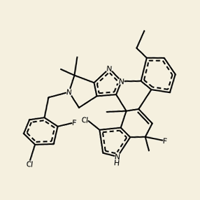 CCc1cccc2c1-n1nc3c(c1C1(C)C2=CC(C)(F)c2[nH]cc(Cl)c21)CN(Cc1ccc(Cl)cc1F)C3(C)C